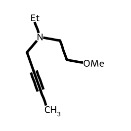 CC#CCN(CC)CCOC